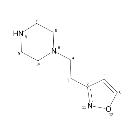 c1cc(CCN2CCNCC2)no1